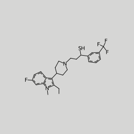 CCc1c(C2CCN(CCC(S)c3cccc(C(F)(F)F)c3)CC2)c2ccc(F)cc2n1C